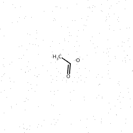 CC=O.[O]